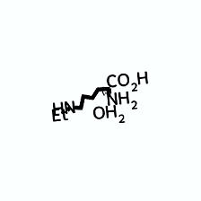 CCNCCCC[C@H](N)C(=O)O.O